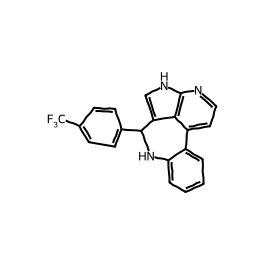 FC(F)(F)c1ccc(C2Nc3ccccc3-c3ccnc4[nH]cc2c34)cc1